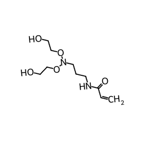 C=CC(=O)NCCCN(OCCO)OCCO